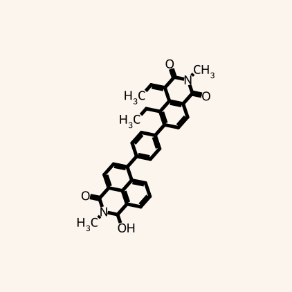 C/C=C1/C(=O)N(C)C(=O)c2ccc(-c3ccc(-c4ccc5c6c(cccc46)C(O)N(C)C5=O)cc3)c(CC)c21